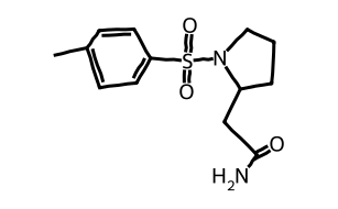 Cc1ccc(S(=O)(=O)N2CCCC2CC(N)=O)cc1